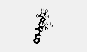 Cc1c(-c2cc3ccccc3o2)sc(S(N)(=O)=O)c1CC1CCC2(C1)NC(=O)NC2=O